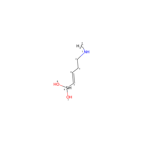 CNCCC=C[SiH](O)O